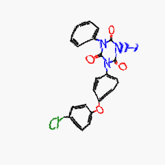 O=c1[nH]c(=O)n(-c2ccc(Oc3ccc(Cl)cc3)cc2)c(=O)n1-c1ccccc1